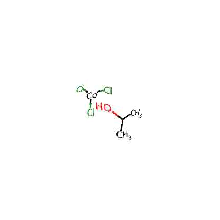 CC(C)O.[Cl][Co]([Cl])[Cl]